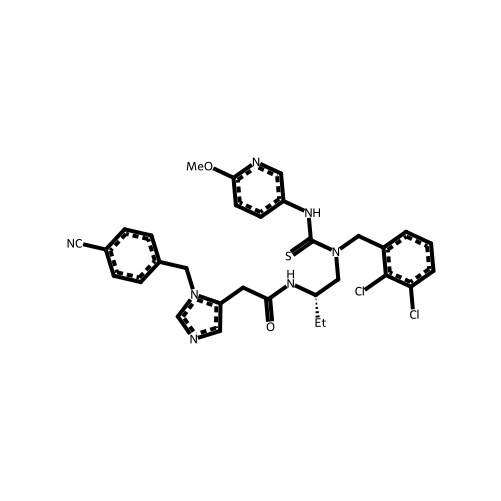 CC[C@@H](CN(Cc1cccc(Cl)c1Cl)C(=S)Nc1ccc(OC)nc1)NC(=O)Cc1cncn1Cc1ccc(C#N)cc1